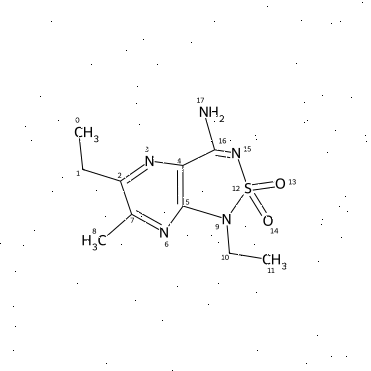 CCc1nc2c(nc1C)N(CC)S(=O)(=O)N=C2N